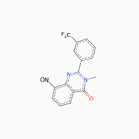 Cn1c(-c2cccc(C(F)(F)F)c2)nc2c(N=O)cccc2c1=O